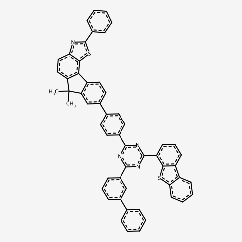 CC1(C)c2cc(-c3ccc(-c4nc(-c5cccc(-c6ccccc6)c5)nc(-c5cccc6c5sc5ccccc56)n4)cc3)ccc2-c2c1ccc1nc(-c3ccccc3)sc21